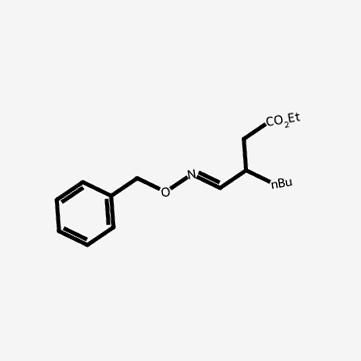 CCCCC(C=NOCc1ccccc1)CC(=O)OCC